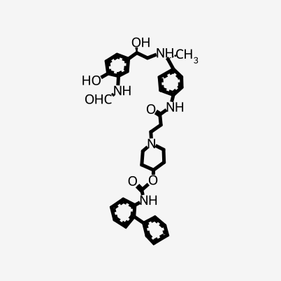 C[C@@H](NC[C@H](O)c1ccc(O)c(NC=O)c1)c1ccc(NC(=O)CCN2CCC(OC(=O)Nc3ccccc3-c3ccccc3)CC2)cc1